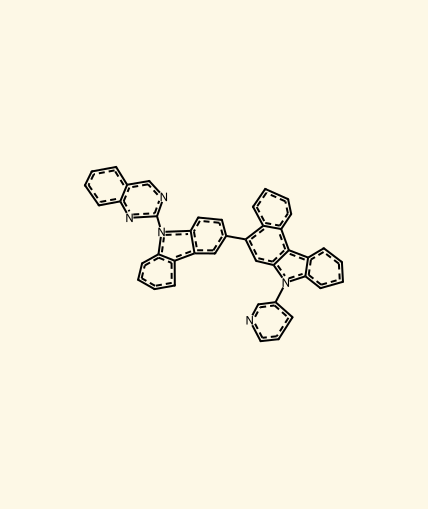 c1cncc(-n2c3ccccc3c3c4ccccc4c(-c4ccc5c(c4)c4ccccc4n5-c4ncc5ccccc5n4)cc32)c1